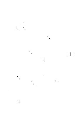 Cc1nc(C(Cl)(Cl)Cl)nn1C(=O)n1cncn1